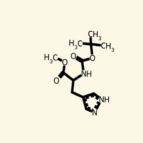 COC(=O)C(Cc1cn[nH]c1)NC(=O)OC(C)(C)C